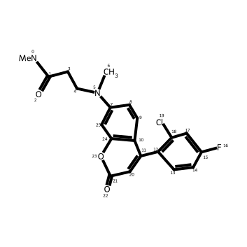 CNC(=O)CCN(C)c1ccc2c(-c3ccc(F)cc3Cl)cc(=O)oc2c1